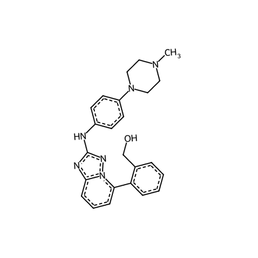 CN1CCN(c2ccc(Nc3nc4cccc(-c5ccccc5CO)n4n3)cc2)CC1